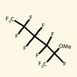 COC(F)(C(F)(F)F)C(F)(F)C(F)(F)C(F)(F)C(F)(F)F